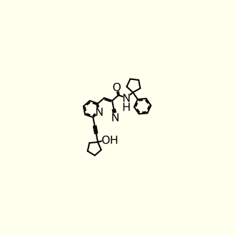 N#C/C(=C\c1cccc(C#CC2(O)CCCC2)n1)C(=O)NC1(c2ccccc2)CCCC1